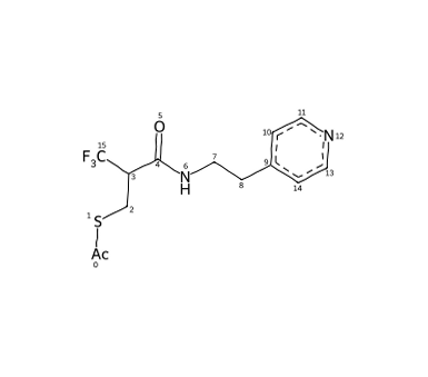 CC(=O)SCC(C(=O)NCCc1ccncc1)C(F)(F)F